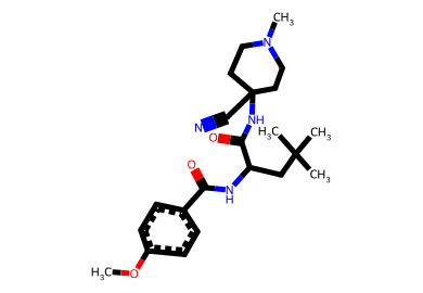 COc1ccc(C(=O)NC(CC(C)(C)C)C(=O)NC2(C#N)CCN(C)CC2)cc1